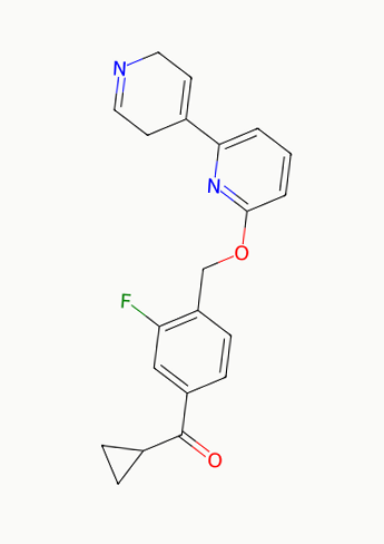 O=C(c1ccc(COc2cccc(C3=CCN=CC3)n2)c(F)c1)C1CC1